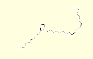 CCCCC/C=C\C/C=C\CCCCCCCCn1ccnc1COCCCCOC